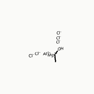 CCO.[Al+3].[Cl-].[Cl-].[Cl-].[Cl-].[Cl-].[Mg+2]